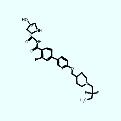 CCC(F)(F)CN1CCC(COc2ccc(-c3ccc(C(=O)NC(=O)[C@@H]4C[C@@H](O)CN4)c(F)c3)cn2)CC1